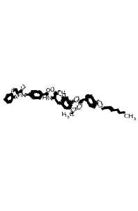 CCCCCCCOc1ccc(C(=O)Oc2ccc(CC(NC(=O)c3ccc(NC(=O)c4cnc5ccccc5n4)cc3)C(C)=O)cc2OC)cc1